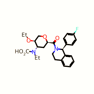 CCO[C@H]1CO[C@@H](C(=O)N2CCc3ccccc3[C@@H]2c2ccc(F)cc2)C[C@@H]1N(CC)C(=O)O